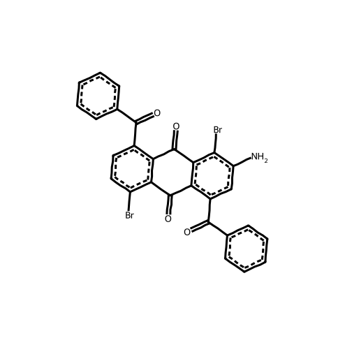 Nc1cc(C(=O)c2ccccc2)c2c(c1Br)C(=O)c1c(C(=O)c3ccccc3)ccc(Br)c1C2=O